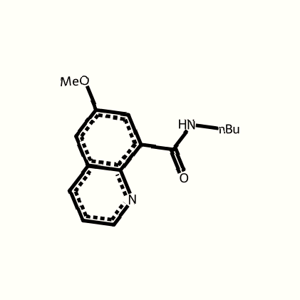 CCCCNC(=O)c1cc(OC)cc2cccnc12